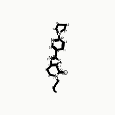 CCCN1CCc2nc(-c3ccc(N4CCCC4)nc3)sc2C1=O